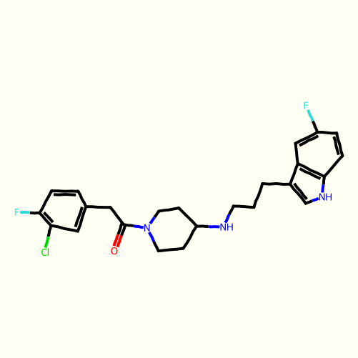 O=C(Cc1ccc(F)c(Cl)c1)N1CCC(NCCCc2c[nH]c3ccc(F)cc23)CC1